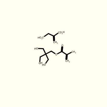 C=C(C)C(=O)OCC(CO)(CO)CO.C=C(CC(=O)O)C(=O)O